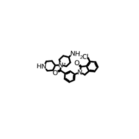 NC1CC[N+](C(=O)c2cccc(N3Cc4cccc(Cl)c4C3=O)c2)(C2CCNCC2)CC1